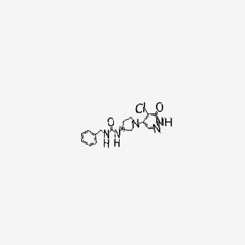 O=C(NCc1ccccc1)N[C@@H]1CCN(c2cn[nH]c(=O)c2Cl)C1